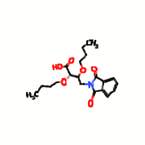 CCCCOC(CN1C(=O)c2ccccc2C1=O)[C@H](OCCCC)C(=O)O